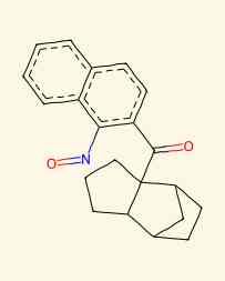 O=Nc1c(C(=O)C23CCCC2C2CCC3C2)ccc2ccccc12